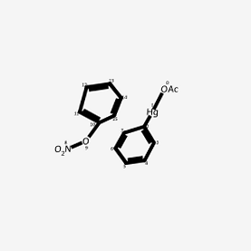 CC(=O)[O][Hg][c]1ccccc1.O=[N+]([O-])Oc1ccccc1